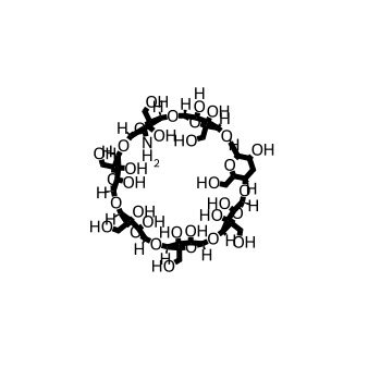 NC1C(O)[C@@H]2O[C@H]3OC(CO)[C@@H](O[C@H]4OC(CO)[C@H](CC4O)O[C@H]4OC(CO)[C@H](O[C@H]5OC(CO)[C@@H](O[C@H]6OC(CO)[C@@H](O[C@H]7OC(CO)[C@@H](O[C@H]1OC2CO)C(O)C7O)C(O)C6O)C(O)C5O)C(O)C4O)C(O)C3O